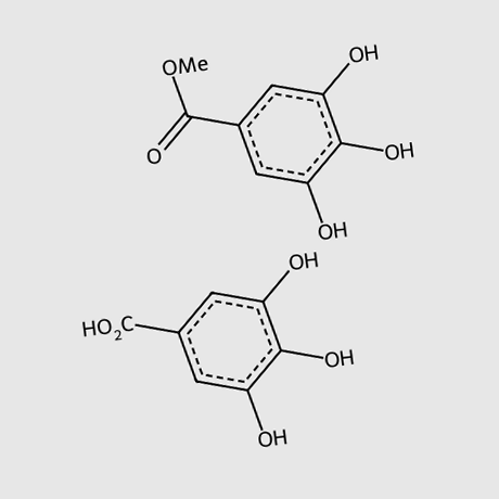 COC(=O)c1cc(O)c(O)c(O)c1.O=C(O)c1cc(O)c(O)c(O)c1